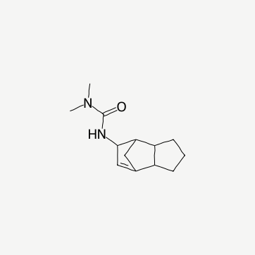 CN(C)C(=O)NC1C=C2CC1C1CCCC21